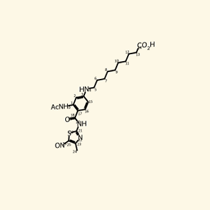 CC(=O)Nc1cc(NCCCCCCCCCC(=O)O)ccc1C(=O)Nc1nc(C)c(N=O)s1